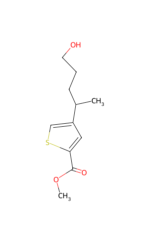 COC(=O)c1cc(C(C)CCCO)cs1